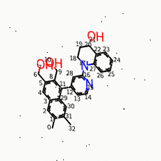 Cc1cc2cc(CO)c(CO)c(-c3ccnc(N4CC[C@H](O)c5ccccc54)c3)c2cc1C